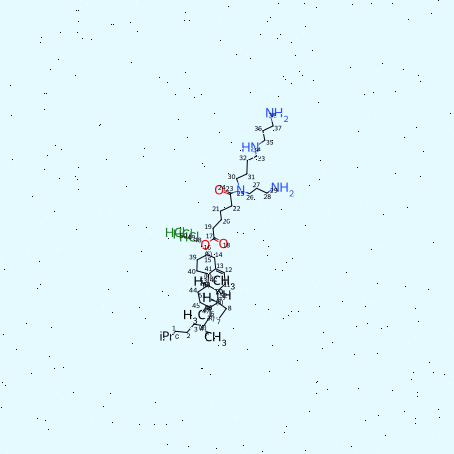 CC(C)CCC[C@@H](C)[C@H]1CC[C@H]2[C@@H]3CC=C4C[C@@H](OC(=O)CCCCC(=O)N(CCCN)CCCCNCCCN)CC[C@]4(C)[C@H]3CC[C@]12C.Cl.Cl.Cl